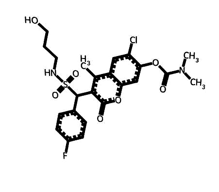 Cc1c(C(c2ccc(F)cc2)S(=O)(=O)NCCCO)c(=O)oc2cc(OC(=O)N(C)C)c(Cl)cc12